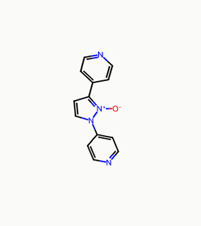 [O-][n+]1c(-c2ccncc2)ccn1-c1ccncc1